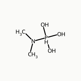 CN(C)[PH](O)(O)O